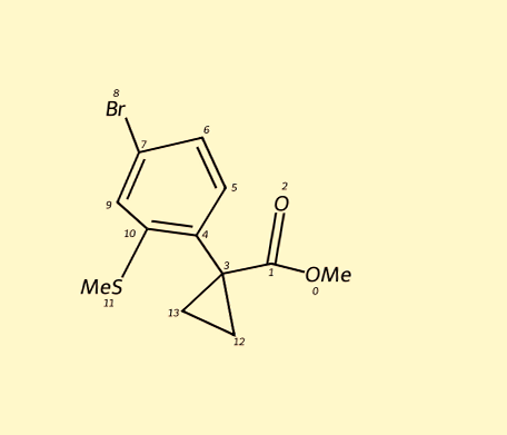 COC(=O)C1(c2ccc(Br)cc2SC)CC1